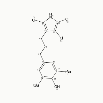 CC(C)(C)c1cc(CCCc2c(Cl)[nH]c(Cl)c2Cl)cc(C(C)(C)C)c1O